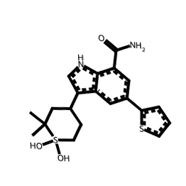 CC1(C)CC(c2c[nH]c3c(C(N)=O)cc(-c4cccs4)cc23)CCS1(O)O